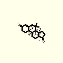 CC1(C)CC2=CC(=O)CC[C@]2(C=O)[C@@H]2CC[C@]3(C)C(=O)CC[C@H]3[C@@H]21